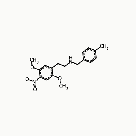 COc1cc([N+](=O)[O-])c(OC)cc1CCNCc1ccc(C)cc1